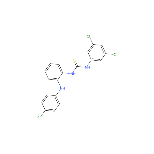 S=C(Nc1cc(Cl)cc(Cl)c1)Nc1c[c]ccc1Nc1ccc(Cl)cc1